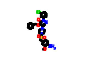 COc1cc(CS(=O)(=O)N2CCN(c3cnn(-c4cccc(Cl)c4)c(=O)c3OCc3ccccc3)CC2)ccc1N